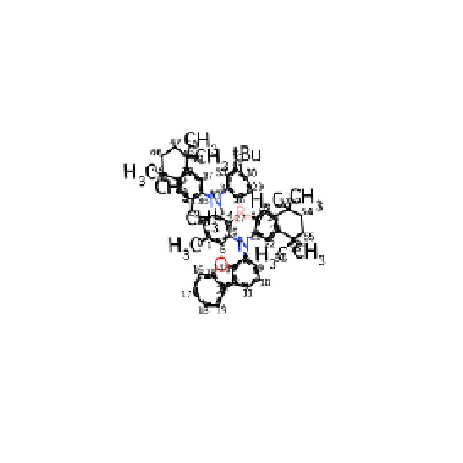 Cc1cc2c3c(c1)N(c1cccc4c1oc1ccccc14)c1cc4c(cc1B3c1ccc(C(C)(C)C)cc1N2c1cc2c(cc1C)C(C)(C)CCC2(C)C)C(C)(C)CCC4(C)C